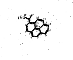 CC(c1ccc2ccc3cccc4ccc1c2c34)C(C)(C)C